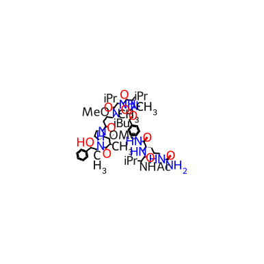 CC[C@H](C)[C@@H]([C@@H](CC(=O)N1CCC[C@H]1[C@H](OC)[C@@H](C)C(=O)N[C@H](C)[C@@H](O)c1ccccc1)OC)N(C)C(=O)[C@@H](NC(=O)C(C(C)C)N(C)C(=O)OCc1ccc(NC(=O)[C@H](CCCNC(N)=O)NC(=O)[C@H](NC(C)=O)C(C)C)cc1)C(C)C